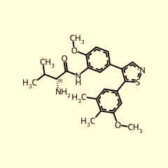 COc1ccc(-c2cnsc2-c2cc(C)c(C)c(OC)c2)cc1NC(=O)[C@H](N)C(C)C